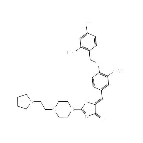 COc1cc(/C=C2\SC(N3CCN(CCN4CCCC4)CC3)=NC2=O)ccc1OCc1ccc(C(F)(F)F)cc1C(F)(F)F